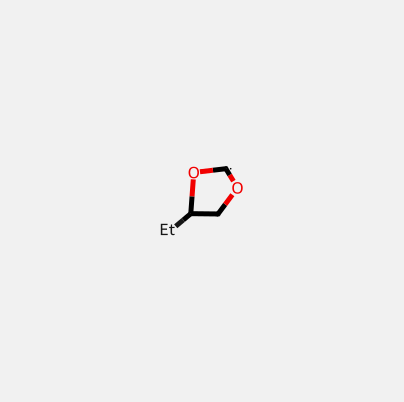 CCC1CO[CH]O1